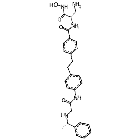 C[C@H](NCC(=O)Nc1ccc(CCc2ccc(C(=O)N[C@@H](CN)C(=O)NO)cc2)cc1)c1ccccc1